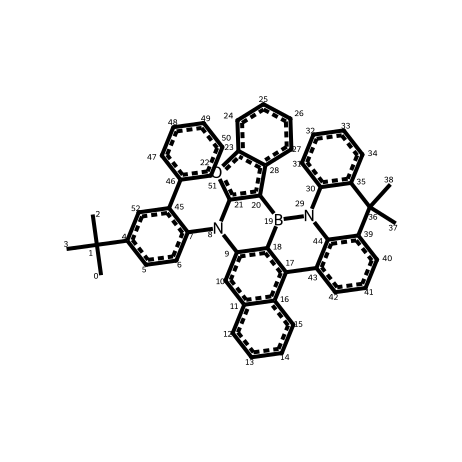 CC(C)(C)c1ccc(N2c3cc4ccccc4c4c3B(c3c2oc2ccccc32)N2c3ccccc3C(C)(C)c3cccc-4c32)c(-c2ccccc2)c1